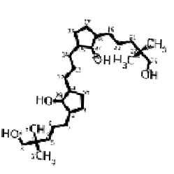 CC(C)(CO)CCCC1CCC(CCCC2CCC(CCCC(C)(C)CO)C2O)C1O